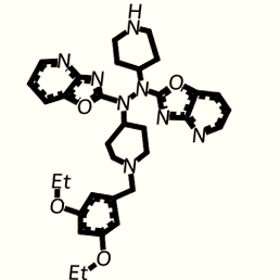 CCOc1cc(CN2CCC(N(c3nc4ncccc4o3)N(c3nc4ncccc4o3)C3CCNCC3)CC2)cc(OCC)c1